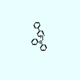 c1ccc(B(C[n+]2ccc(-c3ccccc3)cc2)c2ccccc2)cc1